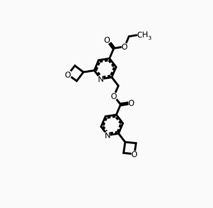 CCOC(=O)c1cc(COC(=O)c2ccnc(C3COC3)c2)nc(C2COC2)c1